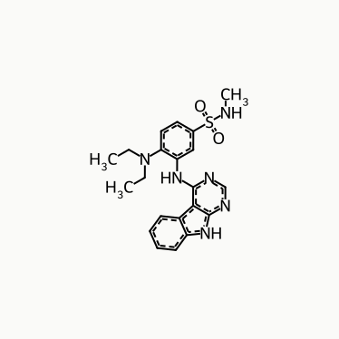 CCN(CC)c1ccc(S(=O)(=O)NC)cc1Nc1ncnc2[nH]c3ccccc3c12